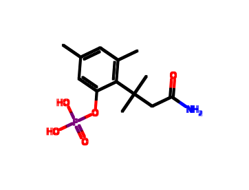 Cc1cc(C)c(C(C)(C)CC(N)=O)c(OP(=O)(O)O)c1